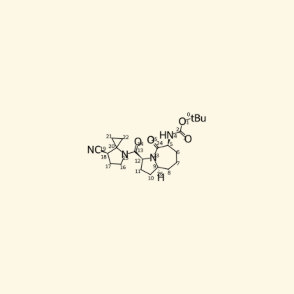 CC(C)(C)OC(=O)N[C@H]1CCC[C@H]2CC[C@@H](C(=O)N3CC[C@@H](C#N)C34CC4)N2C1=O